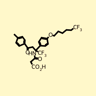 Cc1ccc(C(=O)CC(NC(=O)CC(=O)O)(c2ccc(OCCCCCC(F)(F)F)cc2)C(F)(F)F)cc1